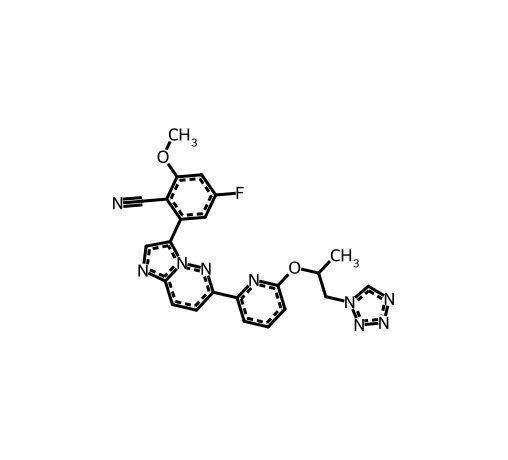 COc1cc(F)cc(-c2cnc3ccc(-c4cccc(OC(C)Cn5cnnn5)n4)nn23)c1C#N